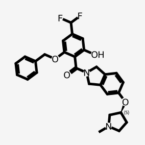 CN1CC[C@H](Oc2ccc3c(c2)CN(C(=O)c2c(O)cc(C(F)F)cc2OCc2ccccc2)C3)C1